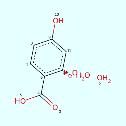 O.O.O.O=C(O)c1ccc(O)cc1